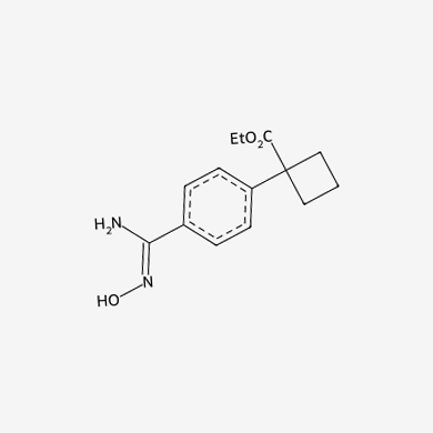 CCOC(=O)C1(c2ccc(C(N)=NO)cc2)CCC1